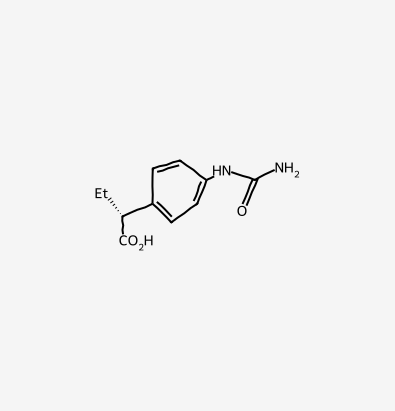 CC[C@@H](C(=O)O)c1ccc(NC(N)=O)cc1